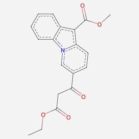 CCOC(=O)CC(=O)c1ccc2c(C(=O)OC)c3ccccc3n2c1